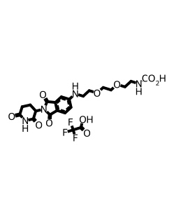 O=C(O)C(F)(F)F.O=C(O)NCCOCCOCCNc1ccc2c(c1)C(=O)N(C1CCC(=O)NC1=O)C2=O